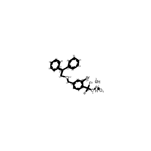 O=[PH](O)OC(F)(F)c1ccc(COCC(c2ccccc2)c2ccccc2)cc1Br